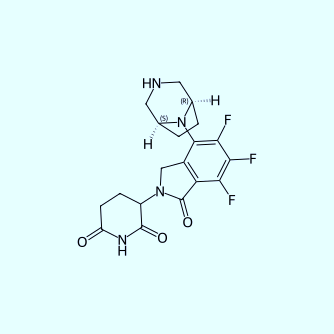 O=C1CCC(N2Cc3c(c(F)c(F)c(F)c3N3[C@@H]4CC[C@H]3CNC4)C2=O)C(=O)N1